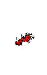 CCCc1nn(C)c2c(=O)[nH]c(-c3cc(S(=O)(=O)NC4CCN(c5ncc(C(=O)Nc6ccccc6N)cn5)CC4)ccc3OCC)nc12